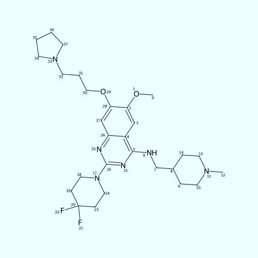 COc1cc2c(NCC3CCN(C)CC3)nc(N3CCC(F)(F)CC3)nc2cc1OCCCN1CCCC1